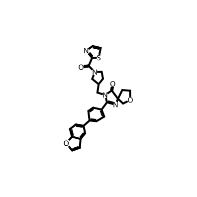 O=C(c1nccs1)N1CCC(CN2C(=O)C3(CCOC3)N=C2c2ccc(-c3ccc4occc4c3)cc2)C1